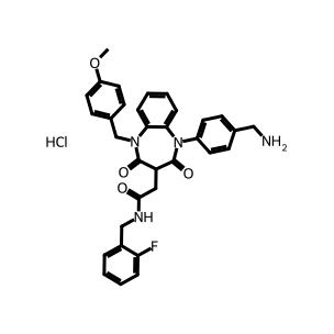 COc1ccc(CN2C(=O)C(CC(=O)NCc3ccccc3F)C(=O)N(c3ccc(CN)cc3)c3ccccc32)cc1.Cl